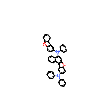 c1ccc(N(c2ccccc2)c2ccc3oc4cc(N(c5ccccc5)c5ccc6oc7ccccc7c6c5)c5ccccc5c4c3c2)cc1